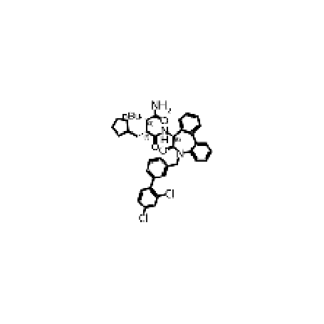 CCCC[C@H](C(N)=O)[C@@H](CC1CCCC1)C(=O)N[C@@H]1C(=O)N(Cc2cccc(-c3ccc(Cl)cc3Cl)c2)c2ccccc2-c2ccccc21